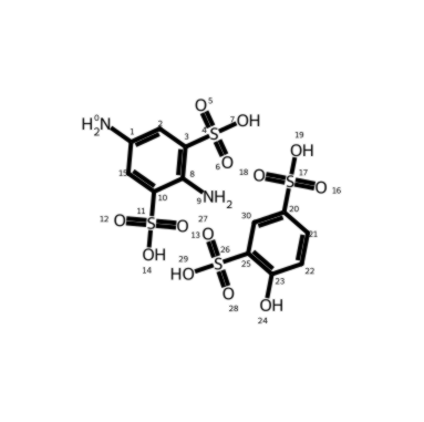 Nc1cc(S(=O)(=O)O)c(N)c(S(=O)(=O)O)c1.O=S(=O)(O)c1ccc(O)c(S(=O)(=O)O)c1